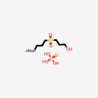 CCCCCCCCCCCCS(=O)(=O)CCCO.O=P(O)(O)O